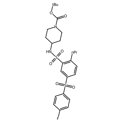 CCCc1ccc(S(=O)(=O)c2ccc(F)cc2)cc1S(=O)(=O)NC1CCN(C(=O)OC(C)(C)C)CC1